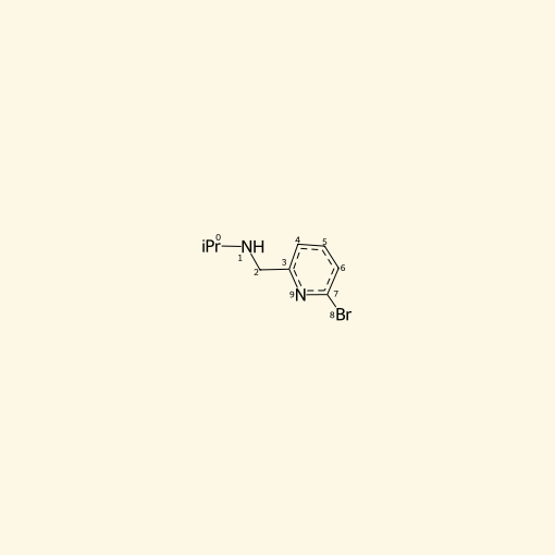 CC(C)NCc1cccc(Br)n1